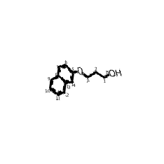 O[CH]CCOc1ccc2ccccc2c1